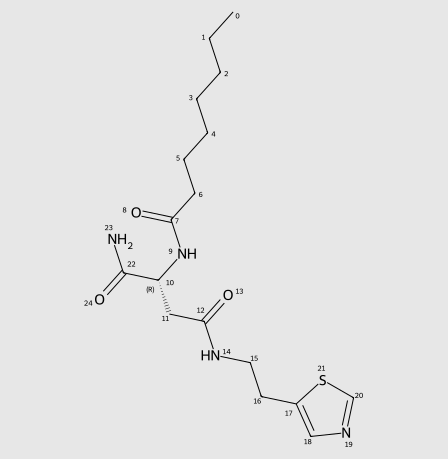 CCCCCCCC(=O)N[C@H](CC(=O)NCCc1cncs1)C(N)=O